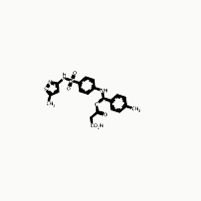 Cc1ccc(C(Nc2ccc(S(=O)(=O)Nc3cc(C)sn3)cc2)OC(=O)CC(=O)O)cc1